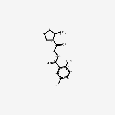 CC1CCCN1C(=O)CNC(=O)c1cc(I)ccc1C#N